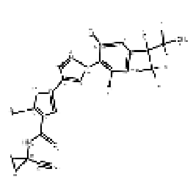 CC(F)(F)C(F)(c1cc(Cl)c(-n2cc(-c3cc(C(=O)NC4(C#N)CC4)c(Cl)s3)cn2)c(Cl)c1)C(F)(F)F